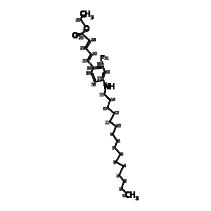 CCCCCCCCCCCCCCCCNc1ccc(/C=C/C=C/C(=O)OCC)c(F)c1